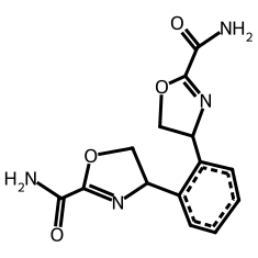 NC(=O)C1=NC(c2ccccc2C2COC(C(N)=O)=N2)CO1